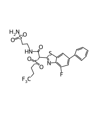 NS(=O)(=O)CCNC(=O)C(c1nc2c(F)cc(-c3ccccc3)cc2s1)S(=O)(=O)CCC(F)(F)F